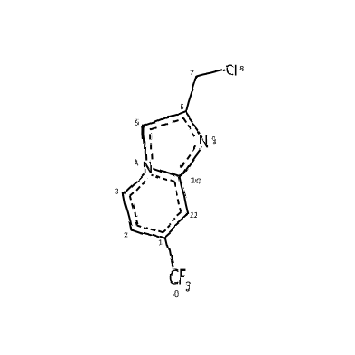 FC(F)(F)c1ccn2cc(CCl)nc2c1